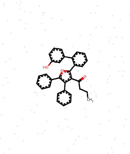 CCCC(=O)c1c(-c2ccccc2-c2cccc(O)c2)oc(-c2ccccc2)c1-c1ccccc1